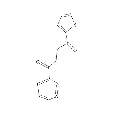 O=C(CCC(=O)c1cccs1)c1cccnc1